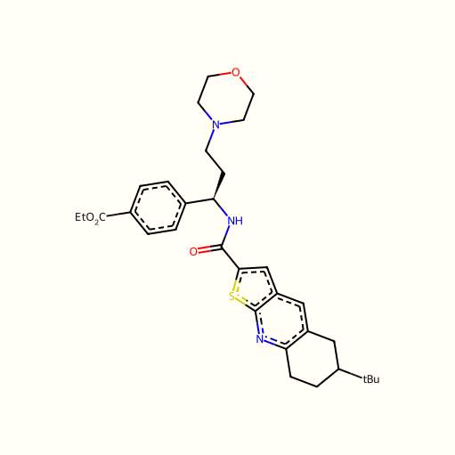 CCOC(=O)c1ccc([C@@H](CCN2CCOCC2)NC(=O)c2cc3cc4c(nc3s2)CCC(C(C)(C)C)C4)cc1